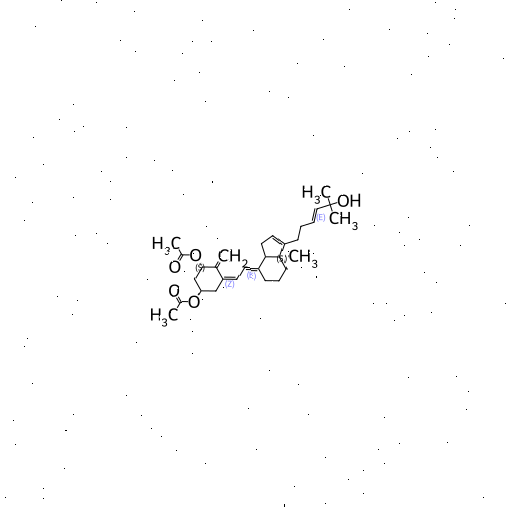 C=C1/C(=C\C=C2/CCC[C@]3(C)C(CC/C=C/C(C)(C)O)=CCC23)CC(OC(C)=O)C[C@@H]1OC(C)=O